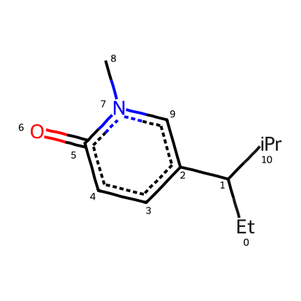 CCC(c1ccc(=O)n(C)c1)C(C)C